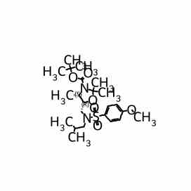 COc1ccc(S(=O)(=O)N(CC(C)C)C[C@H]2OC(C)(C)N(C(=O)OC(C)(C)C)[C@H]2C)cc1